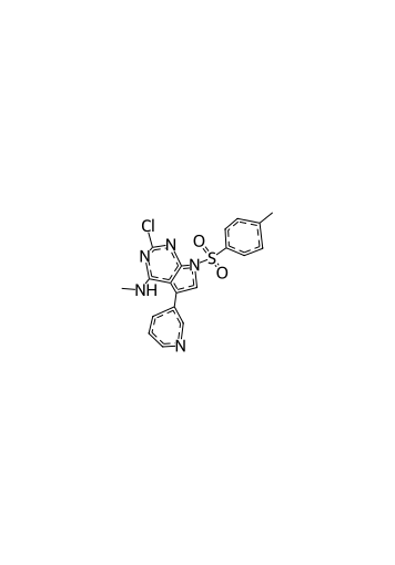 CNc1nc(Cl)nc2c1c(-c1cccnc1)cn2S(=O)(=O)c1ccc(C)cc1